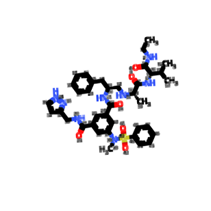 CCNC(=O)[C@@H](NC(=O)[C@H](C)NC[C@H](Cc1ccccc1)NC(=O)c1cc(C(=O)NCc2cc[nH]n2)cc(N(C)S(=O)(=O)c2ccccc2)c1)C(C)C